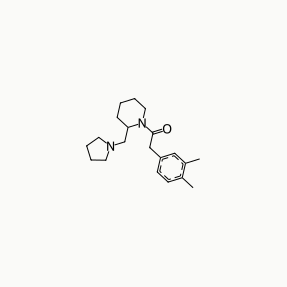 Cc1ccc(CC(=O)N2CCCCC2CN2CCCC2)cc1C